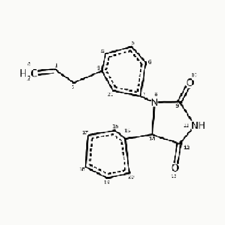 C=CCc1cccc(N2C(=O)NC(=O)C2c2ccccc2)c1